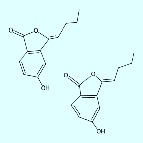 CCCC=C1OC(=O)c2ccc(O)cc21.CCCC=C1OC(=O)c2ccc(O)cc21